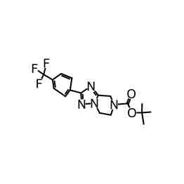 CC(C)(C)OC(=O)N1CCn2nc(-c3ccc(C(F)(F)F)cc3)nc2C1